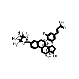 CC1(C)OB(c2ccc3c(c2)C[C@H](c2c(F)cc(/C=C/C(=O)O)cc2F)[C@@H]2C3CC[C@]3(C)[C@@H](O)CC[C@@H]23)OC1(C)C